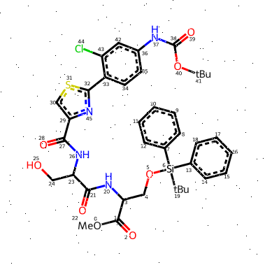 COC(=O)C(CO[Si](c1ccccc1)(c1ccccc1)C(C)(C)C)NC(=O)C(CO)NC(=O)c1csc(-c2ccc(NC(=O)OC(C)(C)C)cc2Cl)n1